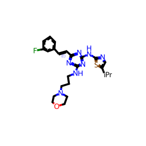 CC(C)c1cnc(Nc2nc(/C=C/c3cccc(F)c3)nc(NCCCN3CCOCC3)n2)s1